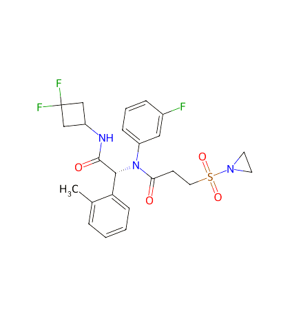 Cc1ccccc1[C@H](C(=O)NC1CC(F)(F)C1)N(C(=O)CCS(=O)(=O)N1CC1)c1cccc(F)c1